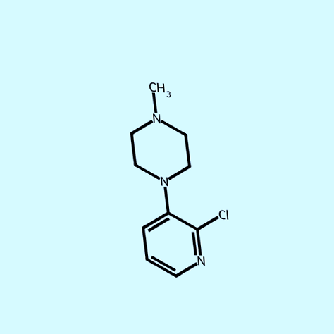 CN1CCN(c2cccnc2Cl)CC1